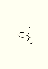 O=COCC(c1cncnc1)N1CCNCC1